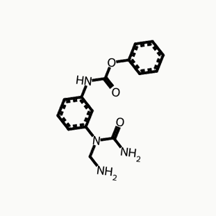 NCN(C(N)=O)c1cccc(NC(=O)Oc2ccccc2)c1